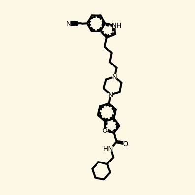 N#Cc1ccc2[nH]cc(CCCCN3CCN(c4ccc5oc(C(=O)NCC6CCCCC6)cc5c4)CC3)c2c1